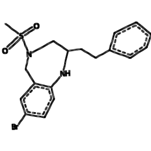 CS(=O)(=O)N1Cc2cc(Br)ccc2NC(CCc2ccccc2)C1